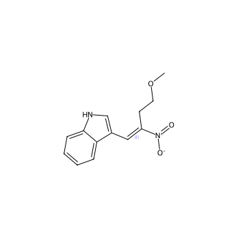 COCC/C(=C\c1c[nH]c2ccccc12)[N+](=O)[O-]